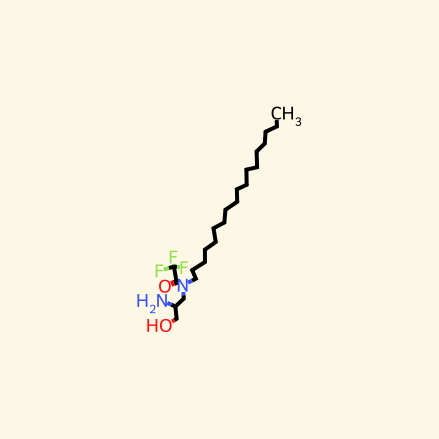 CCCCCCCCCCCCCCCCCCN(CC(N)CO)C(=O)C(F)(F)F